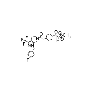 CS(=O)(=O)NC(=O)C1CCC(CC(=O)N2CCc3c(C(F)(F)F)nn(Cc4ccc(F)cc4)c3C2)CC1